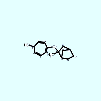 CC1(OC2=CC=CC(S)C=C2)CC2CCC1C2